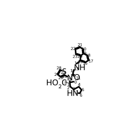 C[C@](CC1CCCN1)(C(=O)O)N(C(=O)CNCc1cccc2ccccc12)c1cccs1